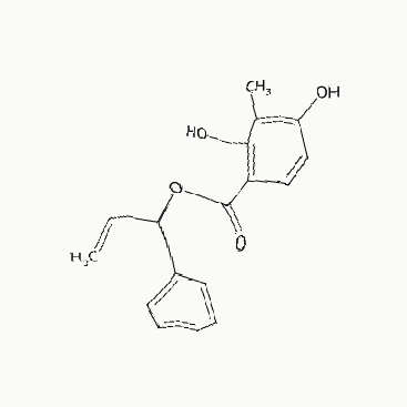 C=CC(OC(=O)c1ccc(O)c(C)c1O)c1ccccc1